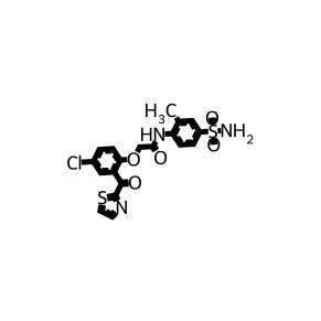 Cc1cc(S(N)(=O)=O)ccc1NC(=O)COc1ccc(Cl)cc1C(=O)c1nccs1